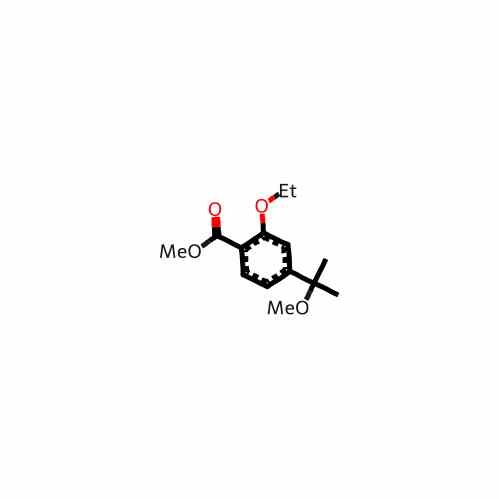 CCOc1cc(C(C)(C)OC)ccc1C(=O)OC